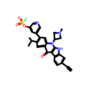 C#Cc1ccc2c(c1)[nH]c1c2c(=O)c2cc(C(C)C)c(-c3cncc(OS(=O)(=O)F)c3)cc2n1C1CN(C)C1